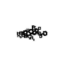 CC(C)C1=C2[C@H]3CC[C@@H]4[C@@]5(C)CC=C(O)C(C)(C)[C@@H]5CC[C@@]4(C)[C@]3(C)CC[C@@]2(COC(=O)c2ccccc2)CC1=O